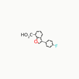 O=C(O)c1cccc2c(-c3ccc(F)cc3)coc12